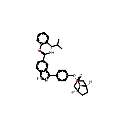 CC(C)[C@H](NC(=O)c1ccc2[nH]nc(-c3ccc(O[C@@H]4C[C@H]5CC[C@@H](C4)N5C=O)cc3)c2c1)c1ccccc1Cl